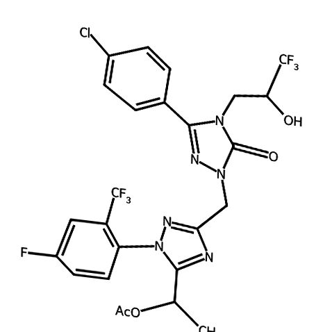 CC(=O)OC(C)c1nc(Cn2nc(-c3ccc(Cl)cc3)n(CC(O)C(F)(F)F)c2=O)nn1-c1ccc(F)cc1C(F)(F)F